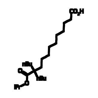 CCCCC(CCCC)(CCCCCCCCCC(=O)O)C(=O)OC(C)C